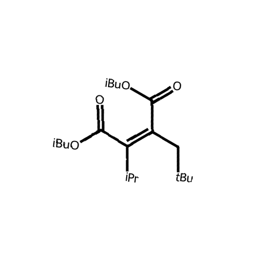 CC(C)COC(=O)C(CC(C)(C)C)=C(C(=O)OCC(C)C)C(C)C